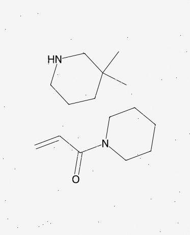 C=CC(=O)N1CCCCC1.CC1(C)CCCNC1